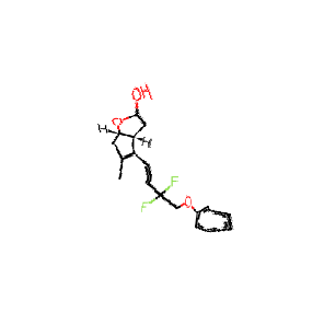 CC1C[C@@H]2OC(O)C[C@@H]2[C@H]1/C=C/C(F)(F)COc1ccccc1